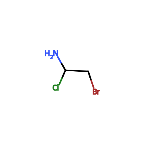 NC(Cl)CBr